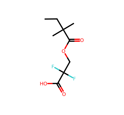 CCC(C)(C)C(=O)OCC(F)(F)C(=O)O